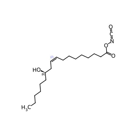 CCCCCC[C@@H](O)C/C=C\CCCCCCCC(=O)ON=C=O